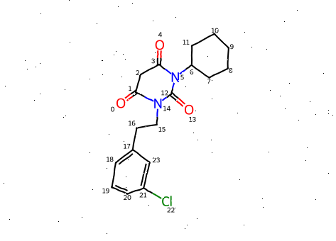 O=C1CC(=O)N(C2CCCCC2)C(=O)N1CCc1cccc(Cl)c1